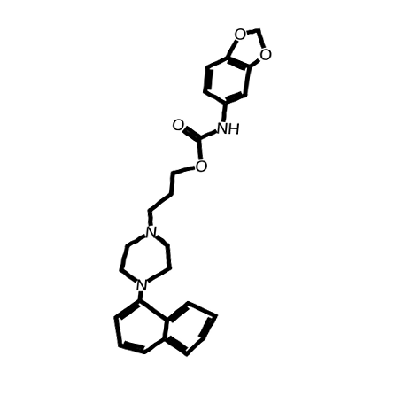 O=C(Nc1ccc2c(c1)OCO2)OCCCN1CCN(c2cccc3ccccc23)CC1